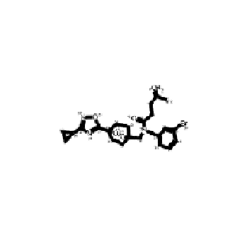 C=C(F)CCC(=O)N(CC12CCC(c3nc(C4CC4)no3)(CC1)OC2)c1cccc(Br)c1